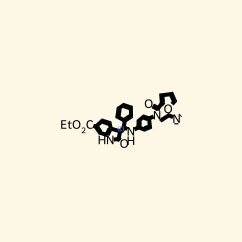 CCOC(=O)c1ccc2c(c1)NC(=O)/C2=C(\Nc1ccc(N(CCN(C)C)C(=O)c2ccco2)cc1)c1ccccc1